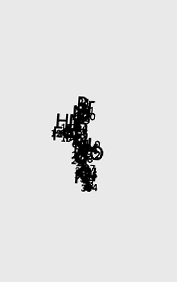 CC(=O)c1nn(CC(=O)N2C[C@H](F)C[C@H]2C(=O)Nc2cccc(Br)n2)c2ccc(-c3cnc(C4CC4)nc3)cc12